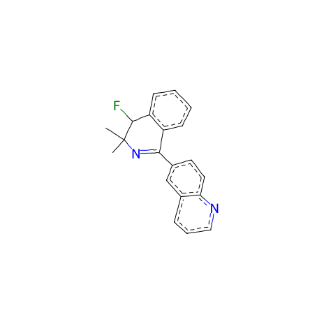 CC1(C)N=C(c2ccc3ncccc3c2)c2ccccc2C1F